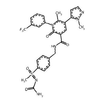 Cc1c(-c2ccnn2C)cc(C(=O)NCc2ccc(S(C)(=O)=NC(N)=O)cc2)c(=O)n1-c1cccc(C(F)(F)F)c1